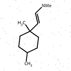 CN/C=C/C1(C)CCC(C)CC1